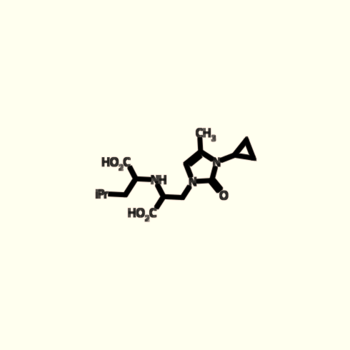 Cc1cn(CC(NC(CC(C)C)C(=O)O)C(=O)O)c(=O)n1C1CC1